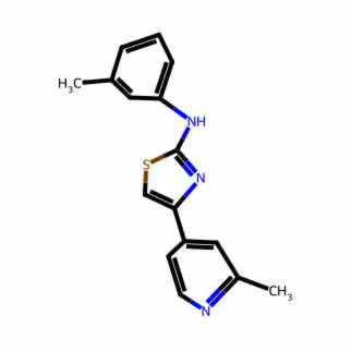 Cc1cccc(Nc2nc(-c3ccnc(C)c3)cs2)c1